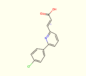 O=C(O)/C=C/c1cccc(-c2ccc(Cl)cc2)n1